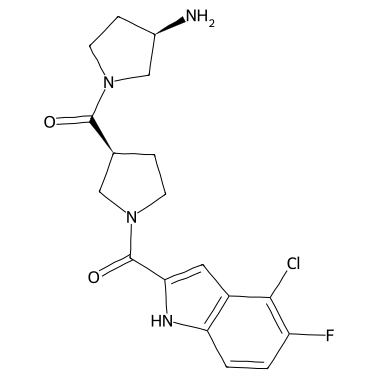 N[C@@H]1CCN(C(=O)[C@H]2CCN(C(=O)c3cc4c(Cl)c(F)ccc4[nH]3)C2)C1